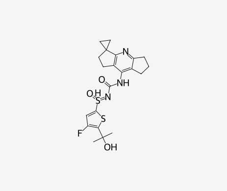 CC(C)(O)c1sc(/[SH](=O)=N/C(=O)Nc2c3c(nc4c2CCC42CC2)CCC3)cc1F